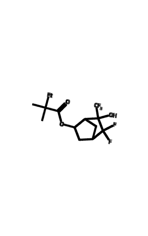 CCC(C)(C)C(=O)OC1CC2CC1C(O)(C(F)(F)F)C2(F)F